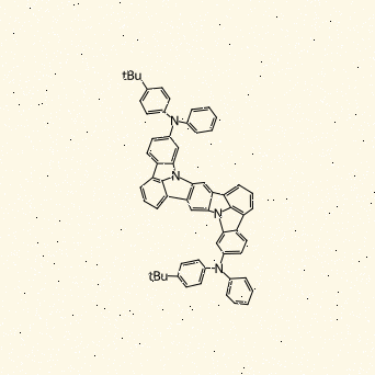 CC(C)(C)c1ccc(N(c2ccccc2)c2ccc3c4cccc5c6cc7c(cc6n(c3c2)c45)c2cccc3c4ccc(N(c5ccccc5)c5ccc(C(C)(C)C)cc5)cc4n7c32)cc1